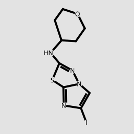 Ic1cn2nc(NC3CCOCC3)sc2n1